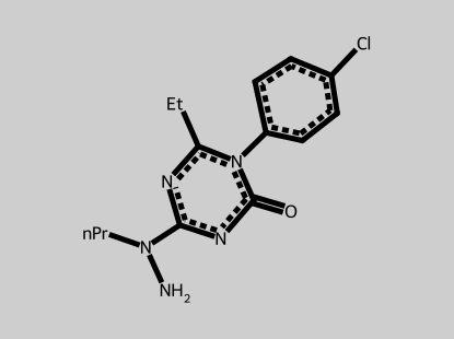 CCCN(N)c1nc(CC)n(-c2ccc(Cl)cc2)c(=O)n1